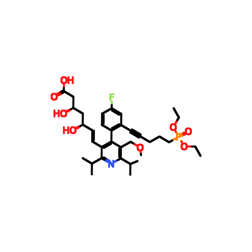 CCOP(=O)(CCCC#Cc1cc(F)ccc1-c1c(/C=C/[C@@H](O)C[C@@H](O)CC(=O)O)c(C(C)C)nc(C(C)C)c1COC)OCC